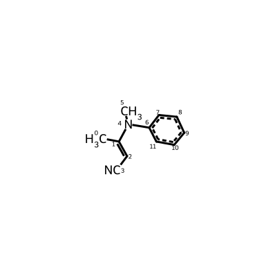 CC(=CC#N)N(C)c1ccccc1